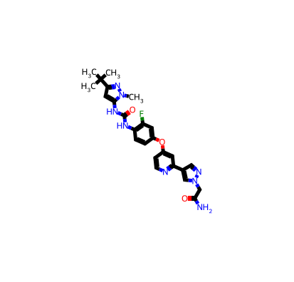 Cn1nc(C(C)(C)C)cc1NC(=O)Nc1ccc(Oc2ccnc(-c3cnn(CC(N)=O)c3)c2)cc1F